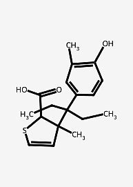 CCC(CC)(c1ccc(O)c(C)c1)C1(C)C=CSC1C(=O)O